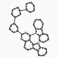 c1ccc(-c2cccc(-c3cccc(-c4nc(-n5c6ccccc6c6ccccc65)c5c(ccc6c7ccccc7oc65)n4)c3)c2)cc1